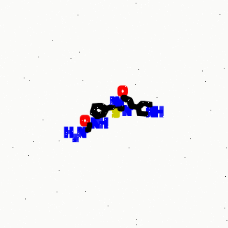 NCC(=O)Nc1cccc(-c2nn3c(=O)cc(C4CCNCC4)nc3s2)c1